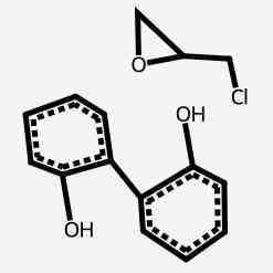 ClCC1CO1.Oc1ccccc1-c1ccccc1O